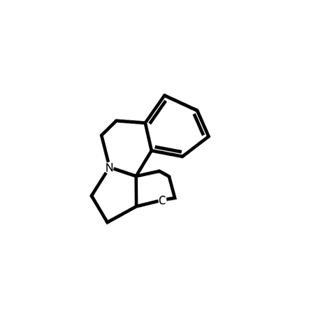 c1ccc2c(c1)CCN1CCC3CCCCC231